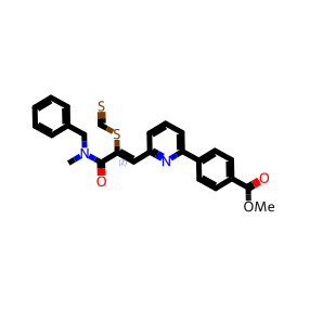 COC(=O)c1ccc(-c2cccc(/C=C(\SC=S)C(=O)N(C)Cc3ccccc3)n2)cc1